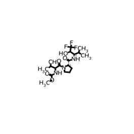 COC(=O)NC(C(=O)N1CCC[C@H]1C(=O)N[C@@H](C(C)C)C(O)C(F)(F)F)C(C)C